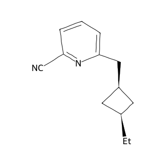 CC[C@H]1C[C@@H](Cc2cccc(C#N)n2)C1